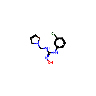 O/N=C(/NCN1CC=CS1)Nc1cccc(Cl)c1